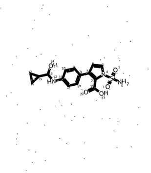 NS(=O)(=O)n1ccc(-c2ccc(NC(O)C3CC3)cc2)c1C(=O)O